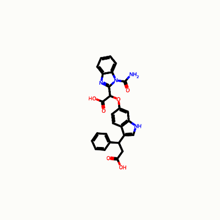 NC(=O)n1c(C(Oc2ccc3c(C(CC(=O)O)c4ccccc4)c[nH]c3c2)C(=O)O)nc2ccccc21